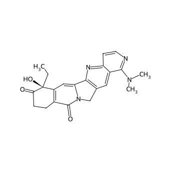 CC[C@@]1(O)C(=O)CCc2c1cc1n(c2=O)Cc2cc3c(N(C)C)nccc3nc2-1